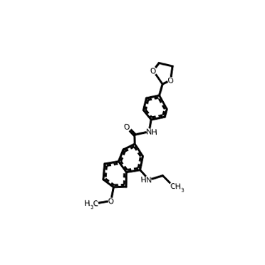 CCNc1cc(C(=O)Nc2ccc(C3OCCO3)cc2)cc2ccc(OC)cc12